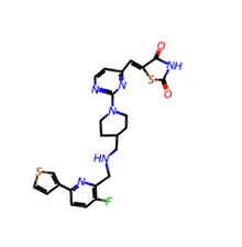 O=C1NC(=O)C(=Cc2ccnc(N3CCC(CNCc4nc(-c5ccsc5)ccc4F)CC3)n2)S1